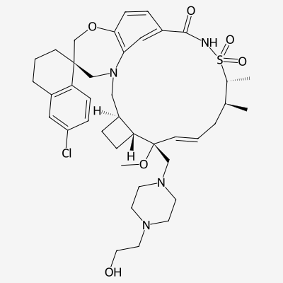 CO[C@@]1(CN2CCN(CCO)CC2)/C=C/C[C@H](C)[C@@H](C)S(=O)(=O)NC(=O)c2ccc3c(c2)N(C[C@@H]2CC[C@H]21)C[C@@]1(CCCc2cc(Cl)ccc21)CO3